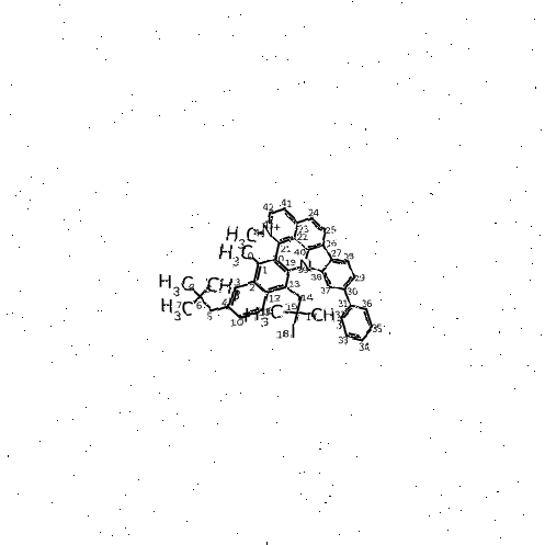 Cc1c2cc(CC(C)(C)C)ccc2c(CC(C)(C)I)c2c1c1c3c(ccc4c5ccc(-c6ccccc6)cc5n2c43)cc[n+]1C